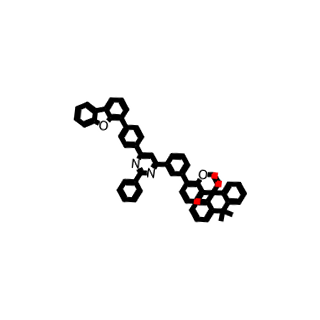 CC1(C)c2ccccc2C2(c3ccccc3Oc3c(-c4cccc(-c5cc(-c6ccc(-c7cccc8c7oc7ccccc78)cc6)nc(-c6ccccc6)n5)c4)cccc32)c2ccccc21